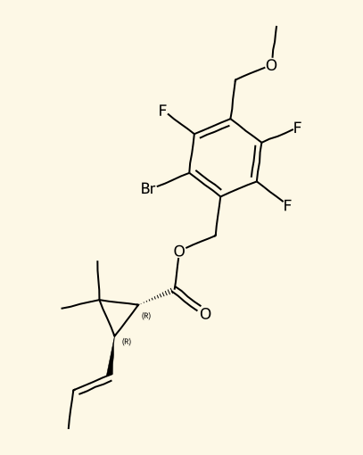 CC=C[C@@H]1[C@@H](C(=O)OCc2c(F)c(F)c(COC)c(F)c2Br)C1(C)C